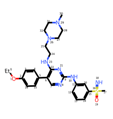 CCOc1ccc(-c2cnc(Nc3cccc(S(C)(=N)=O)c3)nc2NCCN2CCN(C)CC2)cc1